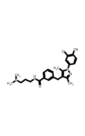 Cc1nn(-c2ccc(C#N)c(Cl)c2)c(C)c1Cc1cccc(C(=O)NCCCN(C)C)c1